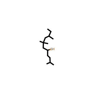 CCC(C)CC(C)(C)CC(S)CCC(C)C